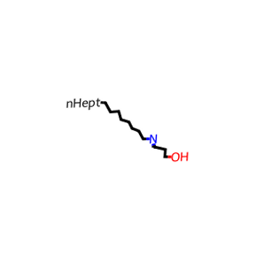 CCCCCCCCCCCCCCCN=CCCO